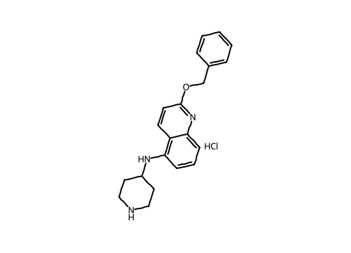 Cl.c1ccc(COc2ccc3c(NC4CCNCC4)cccc3n2)cc1